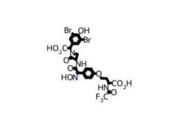 O=C(NC1CN(C(C(=O)O)c2cc(Br)c(O)c(Br)c2)C1=O)/C(=N\O)c1ccc(OCCC(NC(=O)C(F)(F)F)C(=O)O)cc1